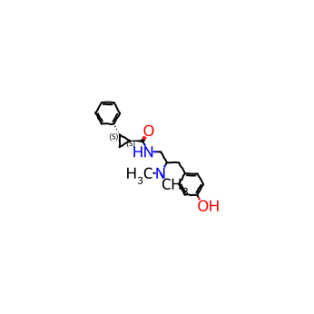 CN(C)C(CNC(=O)[C@H]1C[C@@H]1c1ccccc1)Cc1ccc(O)cc1